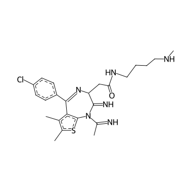 CNCCCCNC(=O)CC1N=C(c2ccc(Cl)cc2)c2c(sc(C)c2C)N(C(C)=N)C1=N